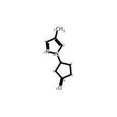 Cc1cnn(C2CCC(=O)C2)c1